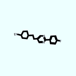 CCC1CCC(CCc2cnc(-c3ccc(F)cc3)nc2)CC1